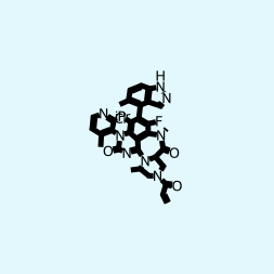 C=CC(=O)N1CC(C)N2c3nc(=O)n(-c4c(C)ccnc4C(C)C)c4c(Cl)c(-c5c(C)ccc6[nH]ncc56)c(F)c(c34)N(C)C(=O)C2C1